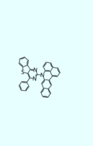 c1ccc(-c2nc(N3c4cc5ccccc5cc4-c4cccc5cccc3c45)nc3c2sc2ccccc23)cc1